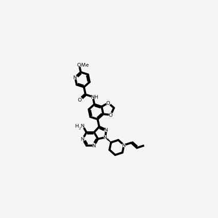 CC=CN1CCC[C@@H](n2nc(-c3ccc(NC(=O)c4ccc(OC)nc4)c4c3OCO4)c3c(N)ncnc32)C1